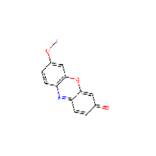 O=c1ccc2nc3ccc(OI)cc3oc-2c1